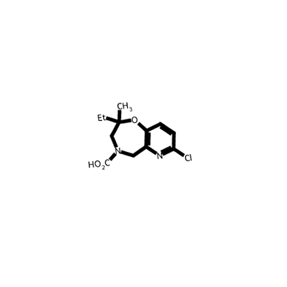 CCC1(C)CN(C(=O)O)Cc2nc(Cl)ccc2O1